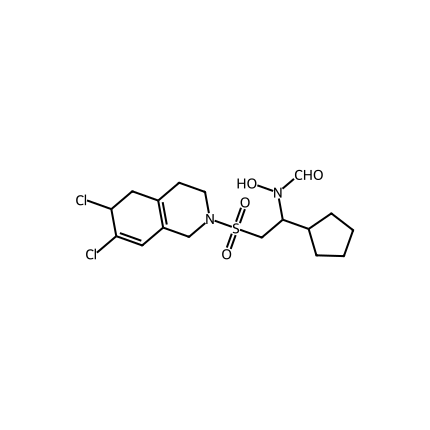 O=CN(O)C(CS(=O)(=O)N1CCC2=C(C=C(Cl)C(Cl)C2)C1)C1CCCC1